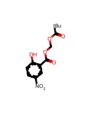 CC(C)(C)C(=O)OCOC(=O)c1cc([N+](=O)[O-])ccc1O